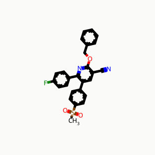 CS(=O)(=O)c1ccc(-c2cc(C#N)c(OCc3ccccc3)nc2-c2ccc(F)cc2)cc1